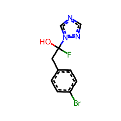 OC(F)(Cc1ccc(Br)cc1)n1cncn1